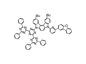 CCC(C)c1ccc2c(c1)c1c3c4cc(C(C)CC)ccc4n(-c4nc(-c5nc(-c6ccccc6)nc(-c6ccccc6)n5)nc(-c5nc(-c6ccccc6)nc(-c6ccccc6)n5)n4)c3ccc1n2-c1cccc(-c2ccc3oc4ccccc4c3c2)n1